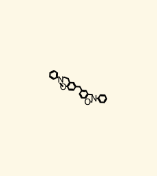 c1ccc(N2CCc3cc(Cc4ccc5c(c4)CN(c4ccccc4)CO5)ccc3OC2)cc1